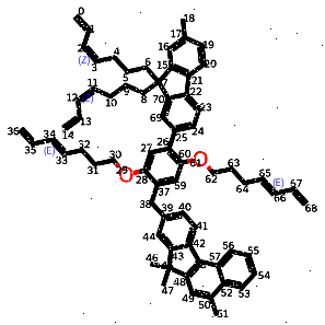 C=C/C=C\CCCC1(CCC/C=C\C=C)c2cc(C)ccc2-c2ccc(-c3cc(OCCC/C=C/C=C)c(Cc4ccc5c(c4)C(C)(C)c4cc(C)c6ccccc6c4-5)cc3OCCC/C=C/C=C)cc21